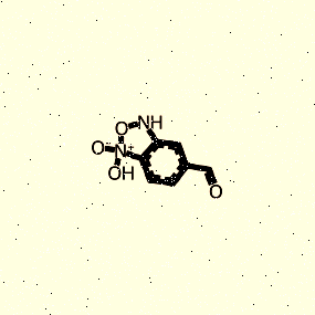 O=Cc1ccc2c(c1)NO[N+]2([O-])O